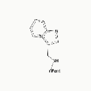 CCCCCNCc1cnc2ccccn12